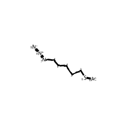 CC(=O)SCCCCCN=[N+]=[N-]